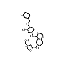 OC[C@@H]1COC(Nc2ccc3ncnc(Nc4ccc(OCc5cccc(F)c5)c(Cl)c4)c3c2)=N1